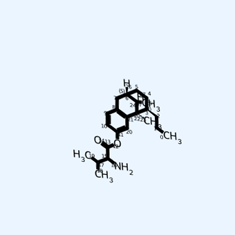 CCC[C@@H]1CC[C@H]2Cc3ccc(OC(=O)C(N)C(C)C)cc3[C@@]1(C)[C@@H]2C